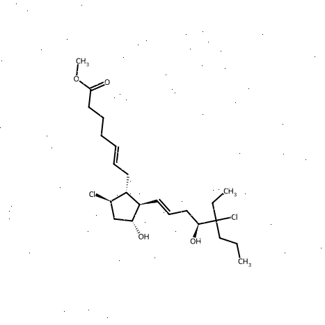 CCCC(Cl)(CC)[C@@H](O)CC=C[C@@H]1[C@@H](CC=CCCCC(=O)OC)[C@H](Cl)C[C@H]1O